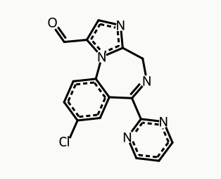 O=Cc1cnc2n1-c1ccc(Cl)cc1C(c1ncccn1)=NC2